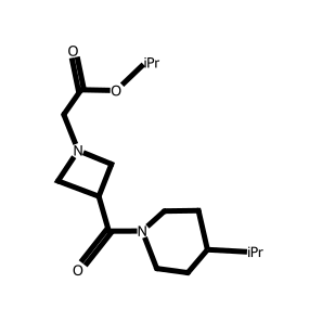 CC(C)OC(=O)CN1CC(C(=O)N2CCC(C(C)C)CC2)C1